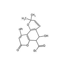 CCCc1cc(=O)oc2c1C1=C(C=CC(C)(C)O1)C(O)C2C(=O)CC